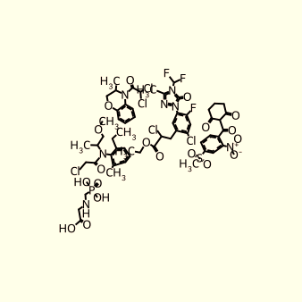 CC1COc2ccccc2N1C(=O)C(Cl)Cl.CCOC(=O)C(Cl)Cc1cc(-n2nc(C)n(C(F)F)c2=O)c(F)cc1Cl.CCc1cccc(C)c1N(C(=O)CCl)C(C)COC.CS(=O)(=O)c1ccc(C(=O)C2C(=O)CCCC2=O)c([N+](=O)[O-])c1.O=C(O)CNCP(=O)(O)O